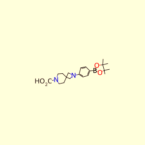 CC1(C)OB(c2ccc(N3CC4(CCN(C(=O)O)CC4)C3)cc2)OC1(C)C